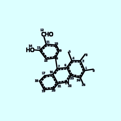 Cc1c(C)c(C)c2c(-c3ccc(C=O)c(O)c3)c3ccccc3nc2c1C